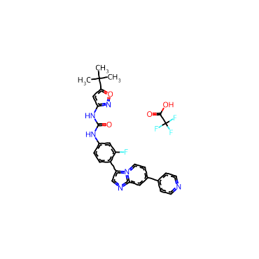 CC(C)(C)c1cc(NC(=O)Nc2ccc(-c3cnc4cc(-c5ccncc5)ccn34)c(F)c2)no1.O=C(O)C(F)(F)F